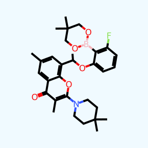 Cc1cc(C(C)Oc2cccc(F)c2B2OCC(C)(C)CO2)c2oc(N3CCC(C)(C)CC3)c(C)c(=O)c2c1